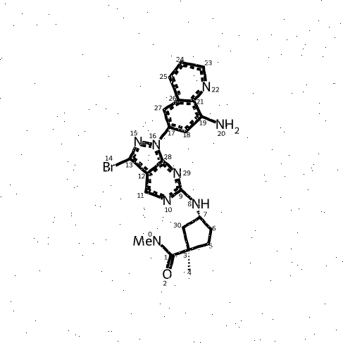 CNC(=O)[C@]1(C)CC[C@@H](Nc2ncc3c(Br)nn(-c4cc(N)c5ncccc5c4)c3n2)C1